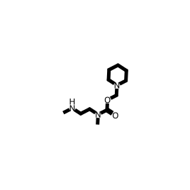 CNCCN(C)C(=O)OCN1CCCCC1